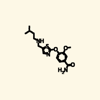 COc1cc(C(N)=O)ccc1Oc1ncc(CNCCC(C)C)s1